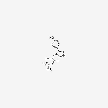 C=C(C)/C=C(/F)[C@@H](CC)Cn1cncc1-c1ccc(O)cc1